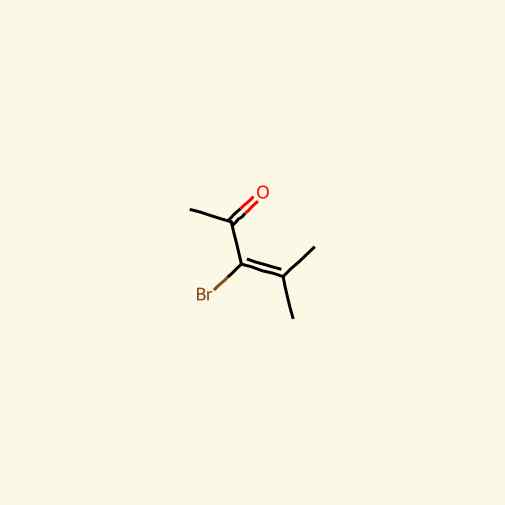 CC(=O)C(Br)=C(C)C